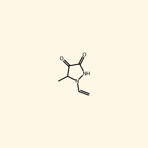 C=CN1NC(=O)C(=O)C1C